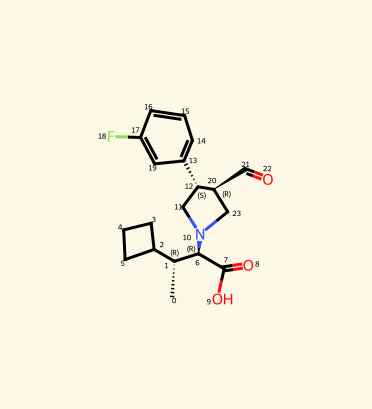 C[C@H](C1CCC1)[C@H](C(=O)O)N1C[C@H](c2cccc(F)c2)[C@@H](C=O)C1